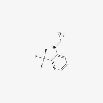 [CH2]CNc1cccnc1C(F)(F)F